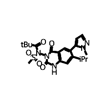 CC(C)c1cc2[nH]c(=O)n(N(C(=O)C(C)(C)C)S(C)(=O)=O)c(=O)c2cc1-c1ccnn1C